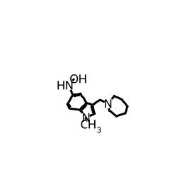 Cn1cc(CN2CCCCCC2)c2cc(NO)ccc21